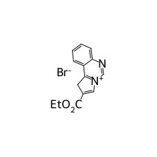 CCOC(=O)C1=C[n+]2cnc3ccccc3c2C1.[Br-]